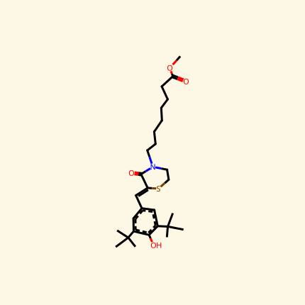 COC(=O)CCCCCCCN1CCSC(=Cc2cc(C(C)(C)C)c(O)c(C(C)(C)C)c2)C1=O